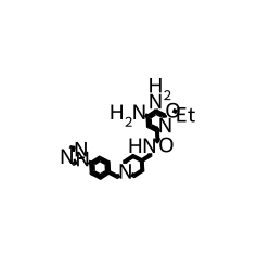 CCOc1nc(C(=O)NCC2CCN(Cc3ccc(-n4cncn4)cc3)CC2)cc(N)c1N